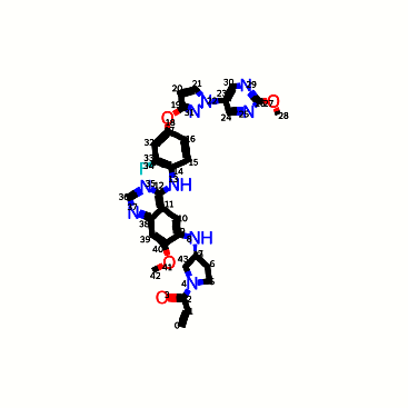 C=CC(=O)N1CC[C@H](Nc2cc3c(Nc4ccc(Oc5ccn(-c6cnc(OC)nc6)n5)cc4F)ncnc3cc2OC)C1